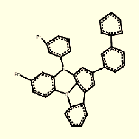 CC(C)c1cccc(N2c3cc(C(C)C)ccc3B3c4ccccc4-c4cc(-c5cccc(-c6ccccc6)c5)cc2c43)c1